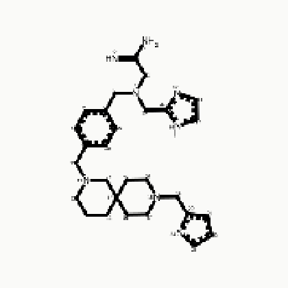 N=C(N)CN(Cc1ccc(CN2CCCC3(CCN(Cc4cccs4)CC3)C2)cc1)Cc1ncc[nH]1